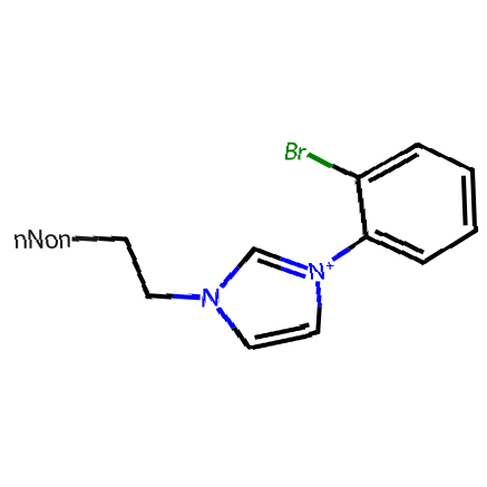 CCCCCCCCCCCn1cc[n+](-c2ccccc2Br)c1